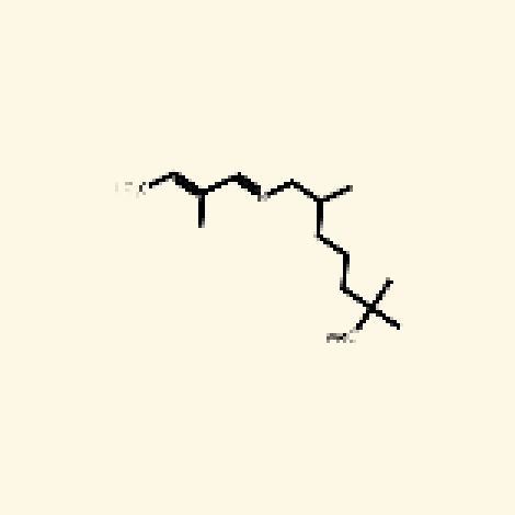 COC(C)(C)CCCC(C)C/N=C/C(C)=C/C(=O)O